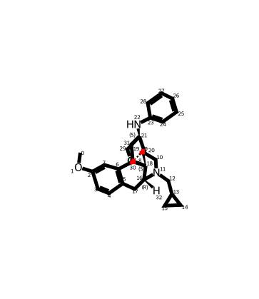 COc1ccc2c(c1)[C@]13CCN(CC4CC4)[C@H](C2)[C@]12CC[C@@](Nc1ccccc1)(CO2)C3